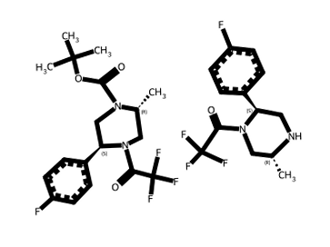 C[C@@H]1CN(C(=O)C(F)(F)F)[C@@H](c2ccc(F)cc2)CN1.C[C@@H]1CN(C(=O)C(F)(F)F)[C@@H](c2ccc(F)cc2)CN1C(=O)OC(C)(C)C